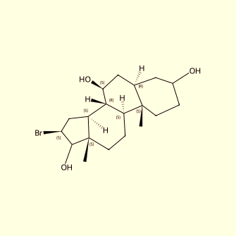 C[C@]12CCC(O)C[C@@H]1C[C@H](O)[C@@H]1[C@@H]2CC[C@]2(C)C(O)[C@@H](Br)C[C@@H]12